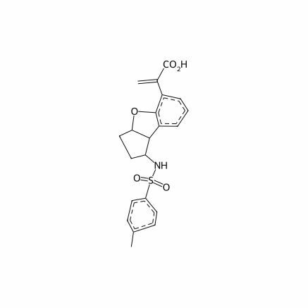 C=C(C(=O)O)c1cccc2c1OC1CCC(NS(=O)(=O)c3ccc(C)cc3)C21